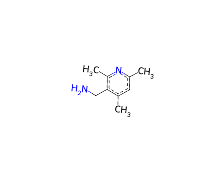 Cc1cc(C)c(CN)c(C)n1